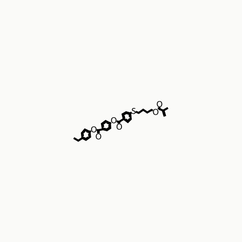 C=C(C)C(=O)OCCCCSc1ccc(C(=O)Oc2ccc(C(=O)Oc3ccc(CC)cc3)cc2)cc1